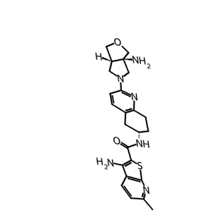 Cc1ccc2c(N)c(C(=O)N[C@H]3CCc4nc(N5C[C@@H]6COC[C@]6(N)C5)ccc4C3)sc2n1